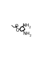 CCC(=O)Oc1cc(N)cc(N)c1